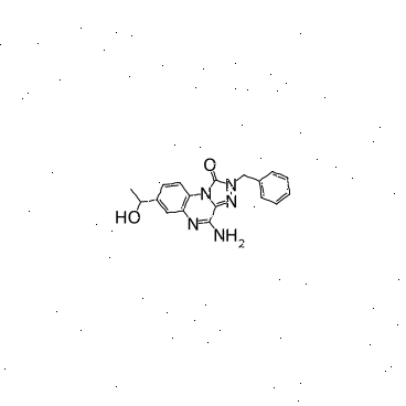 CC(O)c1ccc2c(c1)nc(N)c1nn(Cc3ccccc3)c(=O)n12